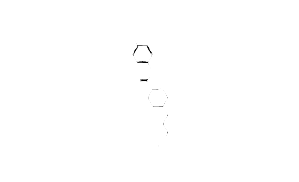 CCCC[C@H]1CC[C@H](C(=O)Oc2ccc(F)cc2)CC1